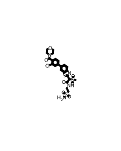 CS(=O)(=O)C(C(=O)NCCS(N)(=O)=O)c1nc2ccc(-c3ccc(C(=O)N4CCOCC4)c(Cl)c3)cc2s1